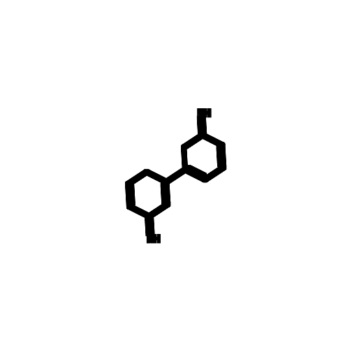 N=C1C=CCC(C2=CC=CC(=N)C2)=C1